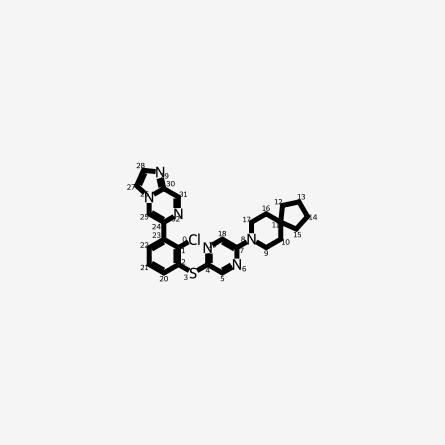 Clc1c(Sc2cnc(N3CCC4(CCCC4)CC3)cn2)cccc1-c1cn2ccnc2cn1